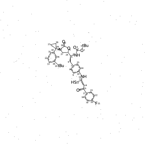 CC(C)(C)OC(=O)N[C@@H](Cc1ccc(NC(S)=CC(=O)c2ccc(F)cc2)cc1)C1CN(C2(c3cccc(C(C)(C)C)c3)CC2)C(=O)O1